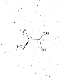 CC(C)(C)[C@H](O)[C@H](N)C(=O)O